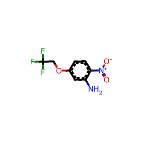 Nc1cc(OCC(F)(F)F)ccc1[N+](=O)[O-]